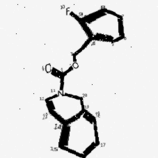 O=C(OCc1ccccc1F)N1C=Cc2ccccc2C1